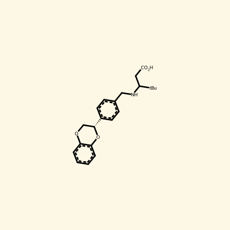 CC(C)(C)C(CC(=O)O)NCc1ccc([C@H]2COc3ccccc3O2)cc1